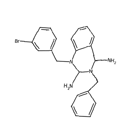 NC1c2ccccc2N(Cc2cccc(Br)c2)C(N)N1Cc1ccccc1